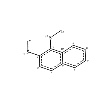 CSc1ccc2ccccc2c1SC